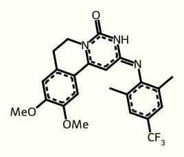 COc1cc2c(cc1OC)-c1c/c(=N\c3c(C)cc(C(F)(F)F)cc3C)[nH]c(=O)n1CC2